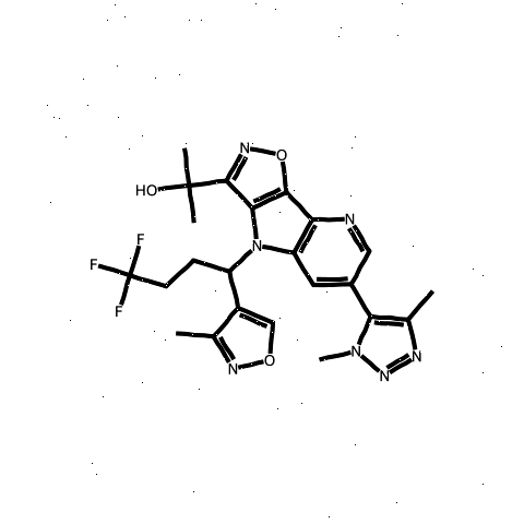 Cc1nocc1C(CCC(F)(F)F)n1c2cc(-c3c(C)nnn3C)cnc2c2onc(C(C)(C)O)c21